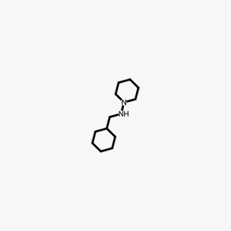 C1CCC(CNN2CCCCC2)CC1